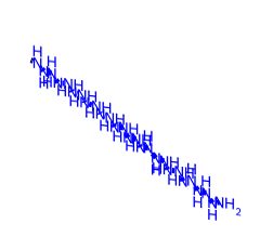 CNNNNNNNNNNNNNNNNNNNNNNNNNNN